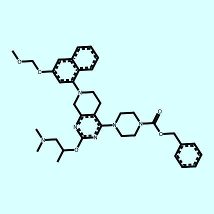 COCOc1cc(N2CCc3c(nc(OC(C)CN(C)C)nc3N3CCN(C(=O)OCc4ccccc4)CC3)C2)c2ccccc2c1